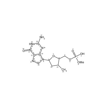 COP(=O)(O)OCC1OC(n2cnc3c(=O)[nH]c(N)nc32)CC1C